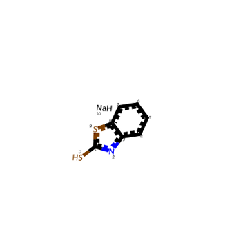 Sc1nc2ccccc2s1.[NaH]